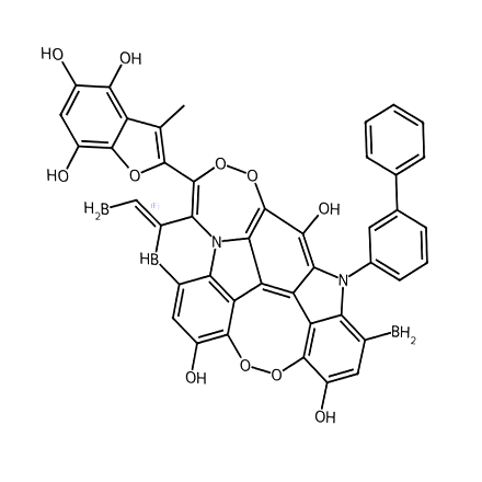 B/C=C1\Bc2cc(O)c3ooc4c(O)cc(B)c5c4c4c6c3c2n2c1c(-c1oc3c(O)cc(O)c(O)c3c1C)ooc(c(O)c4n5-c1cccc(-c3ccccc3)c1)c62